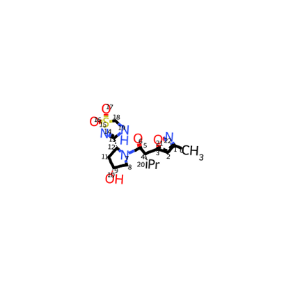 Cc1cc([C@@H](C(=O)N2C[C@H](O)C[C@@H]2C2=NS(=O)(=O)CN2)C(C)C)on1